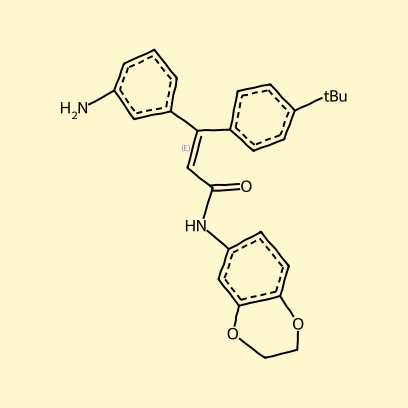 CC(C)(C)c1ccc(/C(=C\C(=O)Nc2ccc3c(c2)OCCO3)c2cccc(N)c2)cc1